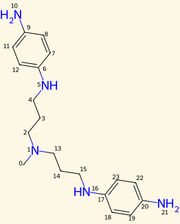 CN(CCCNc1ccc(N)cc1)CCCNc1ccc(N)cc1